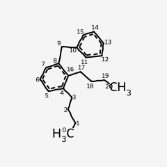 CCCCc1cccc(Cc2ccccc2)c1CCCC